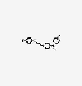 CN1CCN(C(=O)N2CCN(CCCOc3ccc(F)cc3)CC2)CC1